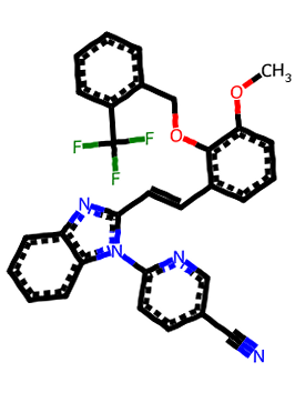 COc1cccc(/C=C/c2nc3ccccc3n2-c2ccc(C#N)cn2)c1OCc1ccccc1C(F)(F)F